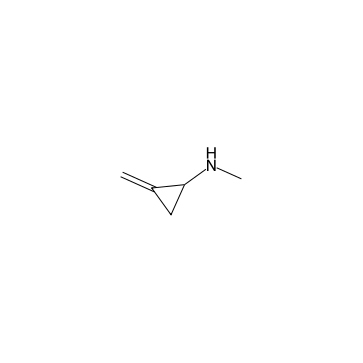 C=C1CC1NC